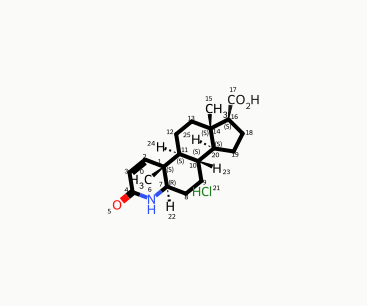 C[C@]12C=CC(=O)N[C@@H]1CC[C@@H]1[C@@H]2CC[C@]2(C)[C@@H](C(=O)O)CC[C@@H]12.Cl